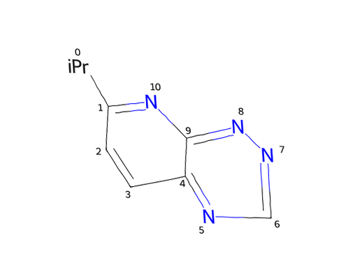 CC(C)c1ccc2ncnnc2n1